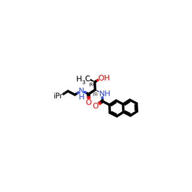 CC(C)CCNC(=O)[C@@H](NC(=O)c1ccc2ccccc2c1)[C@@H](C)O